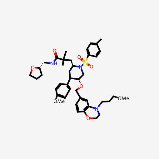 COCCCN1CCOc2ccc(CO[C@H]3CN(S(=O)(=O)c4ccc(C)cc4)[C@H](CC(C)(C)C(=O)NC[C@@H]4CCCO4)CC3c3ccc(OC)cc3)cc21